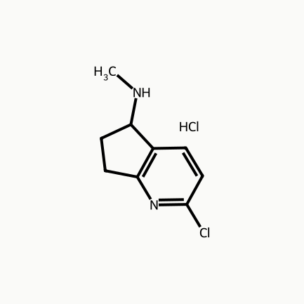 CNC1CCc2nc(Cl)ccc21.Cl